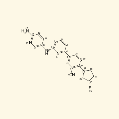 N#Cc1cc(-c2ccnc(Nc3ccc(N)nc3)n2)cnc1N1CC[C@H](F)C1